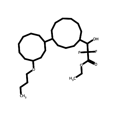 CCCCOC1CCCCCCC(C2CCCCCCC(C(O)C(F)(F)C(=O)OCC)CCC2)CC1